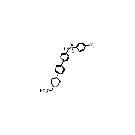 O=C(O)C[C@H]1CC[C@H](c2ccc(-c3ccc(NS(=O)(=O)c4ccc(C(F)(F)F)cc4)cn3)cc2)CC1